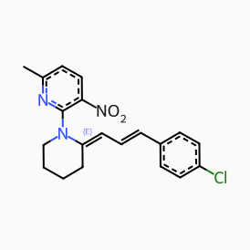 Cc1ccc([N+](=O)[O-])c(N2CCCC/C2=C\C=Cc2ccc(Cl)cc2)n1